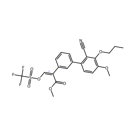 CCCOc1c(OC)ccc(-c2cccc(/C(=C/OS(=O)(=O)C(F)(F)F)C(=O)OC)c2)c1C#N